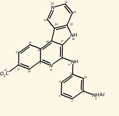 CC(=O)Nc1cccc(Nc2nc3cc(C(=O)O)ccc3c3c2[nH]c2ccncc23)c1